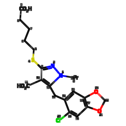 CCCn1nc(SCCCCC(=O)O)c(C(=O)O)c1Cc1cc2c(cc1Cl)OCO2